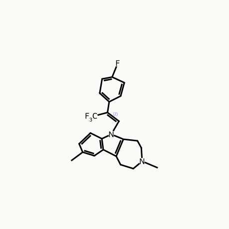 Cc1ccc2c(c1)c1c(n2/C=C(/c2ccc(F)cc2)C(F)(F)F)CCN(C)CC1